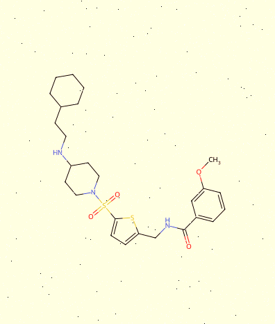 COc1cccc(C(=O)NCc2ccc(S(=O)(=O)N3CCC(NCCC4CCCCC4)CC3)s2)c1